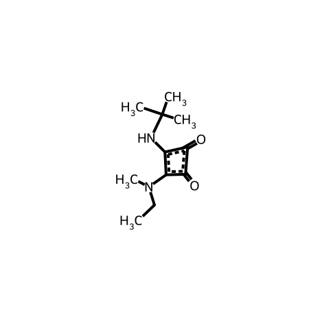 CCN(C)c1c(NC(C)(C)C)c(=O)c1=O